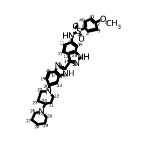 COc1ccc(S(=O)(=O)Nc2ccc3c(-c4nc5ccc(N6CCC(N7CCCCC7)CC6)cc5[nH]4)n[nH]c3c2)cc1